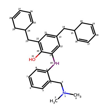 CN(C)Cc1ccccc1Pc1cc(CC2C=CC=CC2)cc(CC2C=CC=CC2)c1O